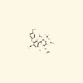 CCOc1cc(C#N)c(Cc2ccc(CC)cc2)cc1[C@]1(O)O[C@H](COC(C)=O)[C@@H](OC(C)=O)[C@H](OC(C)=O)[C@H]1OC(C)=O